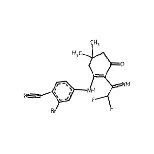 CC1(C)CC(=O)C(C(=N)C(F)F)=C(Nc2ccc(C#N)c(Br)c2)C1